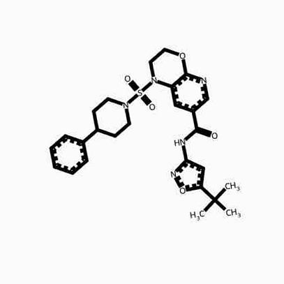 CC(C)(C)c1cc(NC(=O)c2cnc3c(c2)N(S(=O)(=O)N2CCC(c4ccccc4)CC2)CCO3)no1